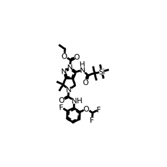 CCOC(=O)n1nc2c(c1NC(=O)C(C)(C)[Si](C)(C)C)CN(C(=O)Nc1c(F)cccc1OC(F)F)C2(C)C